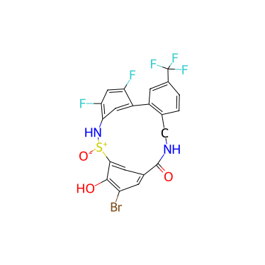 O=C1NCc2ccc(C(F)(F)F)cc2-c2cc(c(F)cc2F)N[S+]([O-])c2cc1cc(Br)c2O